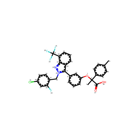 Cc1ccc(C(C)(Oc2cccc(-c3c4cccc(C(F)(F)F)c4nn3Cc3ccc(Cl)cc3F)c2)C(=O)O)cc1